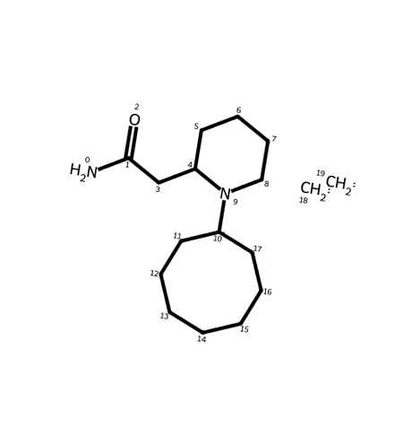 NC(=O)CC1CCCCN1[C]1CCCCCCC1.[CH2].[CH2]